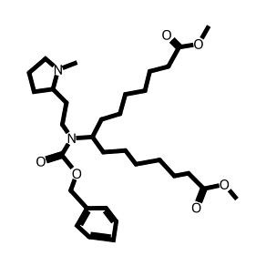 COC(=O)CCCCCCC(CCCCCCC(=O)OC)N(CCC1CCCN1C)C(=O)OCc1ccccc1